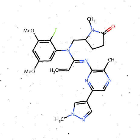 C=C/C(=N\c1nc(-c2cnn(C)c2)cnc1C)N(CC1CCC(=O)N1C)c1cc(OC)cc(OC)c1F